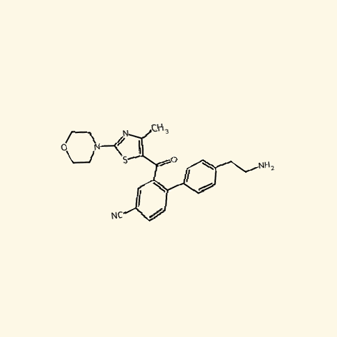 Cc1nc(N2CCOCC2)sc1C(=O)c1cc(C#N)ccc1-c1ccc(CCN)cc1